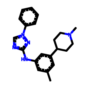 Cc1cc(Nc2ncn(-c3ccccc3)n2)cc(C2CCN(C)CC2)c1